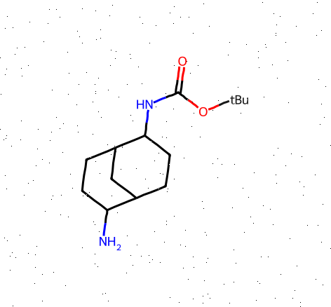 CC(C)(C)OC(=O)NC1CCC2CC1CCC2N